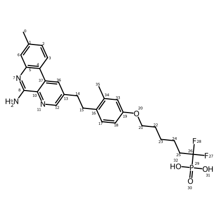 Cc1ccc2c(c1)nc(N)c1ncc(CCc3ccc(OCCCCCC(F)(F)P(=O)(O)O)cc3C)cc12